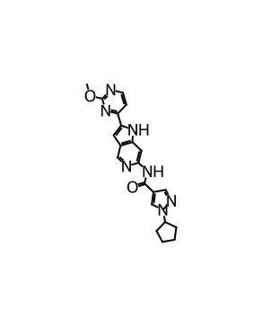 COc1nccc(-c2cc3cnc(NC(=O)c4cnn(C5CCCC5)c4)cc3[nH]2)n1